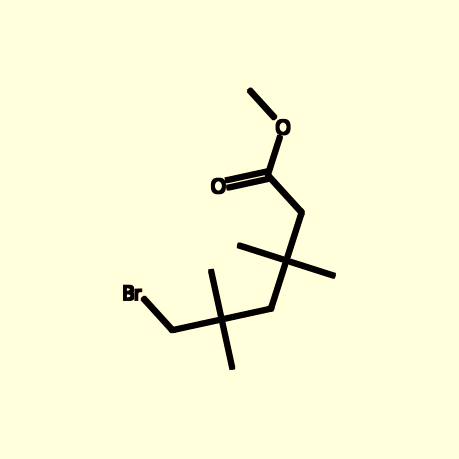 COC(=O)CC(C)(C)CC(C)(C)CBr